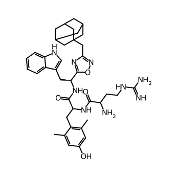 Cc1cc(O)cc(C)c1CC(NC(=O)C(N)CCNC(=N)N)C(=O)N[C@@H](Cc1c[nH]c2ccccc12)c1nc(CC23CC4CC(CC(C4)C2)C3)no1